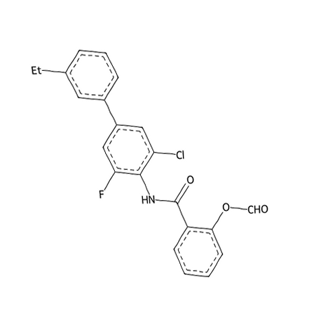 CCc1cccc(-c2cc(F)c(NC(=O)c3ccccc3OC=O)c(Cl)c2)c1